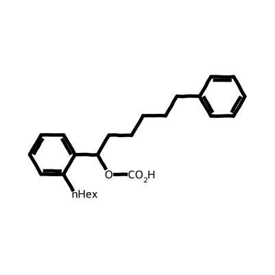 CCCCCCc1ccccc1C(CCCCCc1ccccc1)OC(=O)O